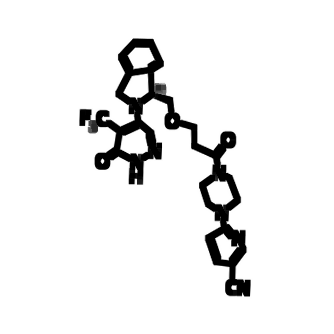 N#Cc1ccc(N2CCN(C(=O)CCOC[C@@H]3c4ccccc4CN3c3cn[nH]c(=O)c3C(F)(F)F)CC2)nc1